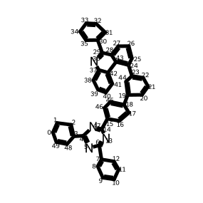 c1ccc(-c2nc(-c3ccccc3)nc(-c3ccc(-c4cccc(-c5cccc6c(-c7ccccc7)nc7ccccc7c56)c4)cc3)n2)cc1